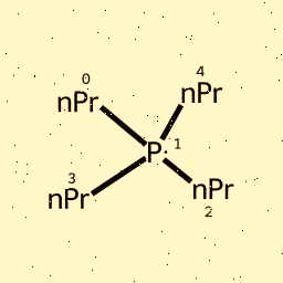 CCC[P](CCC)(CCC)CCC